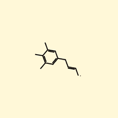 [CH2]C=CCc1cc(C)c(C)c(C)c1